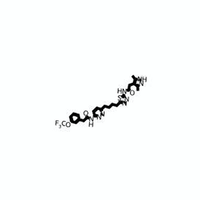 Cc1n[nH]c(C)c1CC(=O)Nc1nnc(CCCCc2ccc(NC(=O)Cc3cccc(OC(F)(F)F)c3)nn2)s1